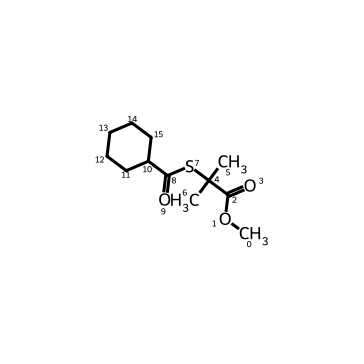 COC(=O)C(C)(C)SC(=O)C1CCCCC1